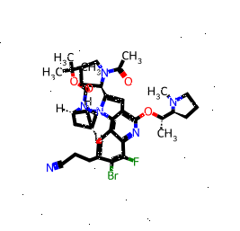 CC(=O)N1CCC[C@@H]1c1cc2c(O[C@@H](C)[C@@H]3CCCN3C)nc3c(F)c(Br)c(CCC#N)cc3c2n1[C@H]1[C@@H]2C[C@H]1N(C(=O)OC(C)(C)C)C2